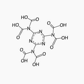 O=C(O)N(C(=O)O)c1nc(N(C(=O)O)C(=O)O)nc(N(C(=O)O)C(=O)O)n1